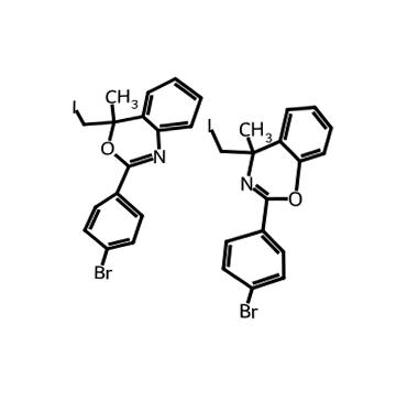 CC1(CI)N=C(c2ccc(Br)cc2)Oc2ccccc21.CC1(CI)OC(c2ccc(Br)cc2)=Nc2ccccc21